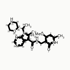 COc1cc(C)[nH]c(=O)c1CNC(=O)c1c(C)n(C(C)[C@H]2CNCCO2)c2ncncc12